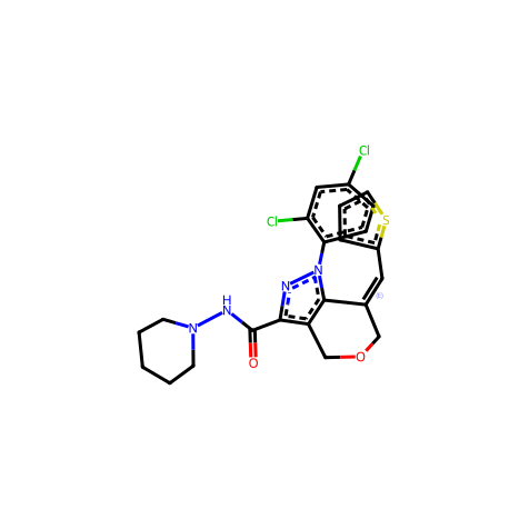 O=C(NN1CCCCC1)c1nn(-c2ccc(Cl)cc2Cl)c2c1COC/C2=C/c1cccs1